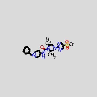 CCS(=O)(=O)c1cnc(N2C[C@@H](C)N(C(=O)NC3CCN(Cc4ccccc4)CC3)[C@@H](C)C2)nc1